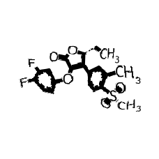 CC[C@H]1OC(=O)C(Oc2ccc(F)c(F)c2)=C1c1ccc(S(C)(=O)=O)c(C)c1